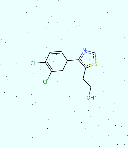 OCCc1scnc1C1C=CC(Cl)=C(Cl)C1